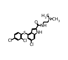 CN(C)CCNC(=O)c1cc2c(Sc3ccc(Cl)cc3Cl)cc(Cl)cc2[nH]1